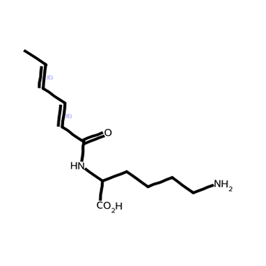 C/C=C/C=C/C(=O)NC(CCCCN)C(=O)O